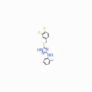 Cc1ccccc1Nc1n[nH]c(SCc2ccc(F)c(F)c2)n1